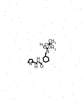 CC(C)(C)OC(=O)/N=C/C1CCC[C@H](C(=O)NNC2=NCCC2)C1